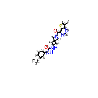 Cc1csc2c(C(=O)N3CC4(CC(NC(=O)Nc5cccc(C(F)(F)F)c5)C4)C3)ncnc12